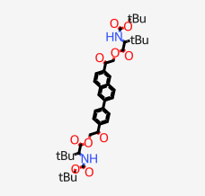 CC(C)(C)OC(=O)NC(C(=O)OCC(=O)c1ccc(-c2ccc3cc(C(=O)COC(=O)C(NC(=O)OC(C)(C)C)C(C)(C)C)ccc3c2)cc1)C(C)(C)C